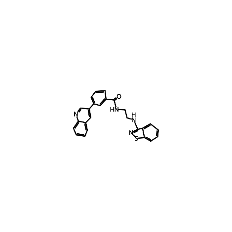 O=C(NCCNc1nsc2ccccc12)c1cccc(-c2cnc3ccccc3c2)c1